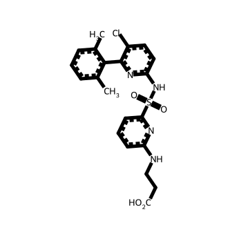 Cc1cccc(C)c1-c1nc(NS(=O)(=O)c2cccc(NCCC(=O)O)n2)ccc1Cl